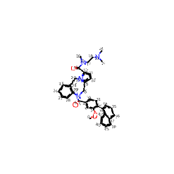 COc1cc(C(=O)N2Cc3ccc(C(=O)N(C)CCN(C)C)n3Cc3ccccc32)ccc1-c1cccc2ccccc12